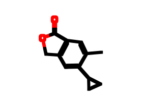 Cc1cc2c(cc1C1CC1)COC2=O